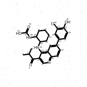 CC(C)C(=O)c1cnc2ccc(-c3ccc(O)c(Cl)c3)cc2c1NC1CCCCC1NC(=O)O